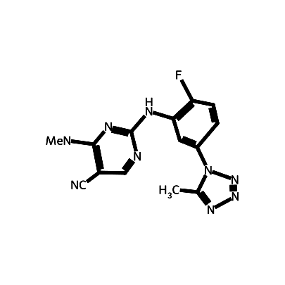 CNc1nc(Nc2cc(-n3nnnc3C)ccc2F)ncc1C#N